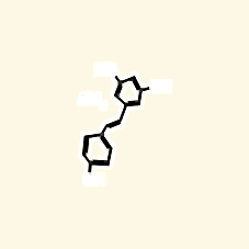 Oc1ccc(C=Cc2cc(O)cc(O)c2)cc1.[AlH3]